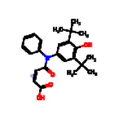 CC(C)(C)c1cc(N(C(=O)/C=C\C(=O)O)c2ccccc2)cc(C(C)(C)C)c1O